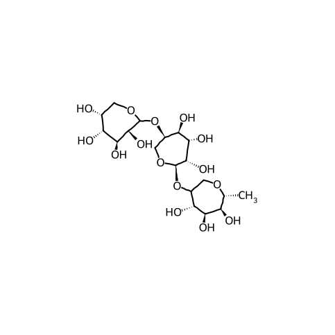 C[C@H]1OCC(O[C@H]2OC[C@@H](OC3OC[C@@H](O)[C@@H](O)[C@H](O)[C@@H]3O)[C@@H](O)[C@H](O)[C@@H]2O)[C@@H](O)[C@H](O)[C@@H]1O